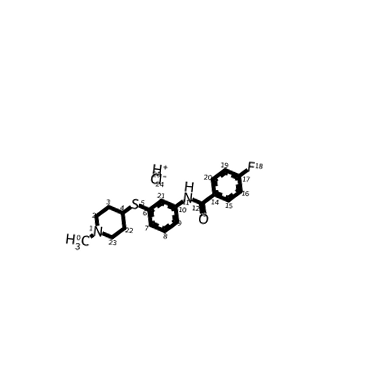 CN1CCC(Sc2cccc(NC(=O)c3ccc(F)cc3)c2)CC1.[Cl-].[H+]